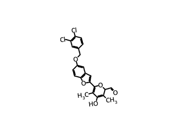 CC1=C(c2cc3cc(OCc4ccc(Cl)c(Cl)c4)ccc3o2)OC(C=O)C(C)=C1O